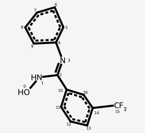 ONC(=Nc1ccccc1)c1cccc(C(F)(F)F)c1